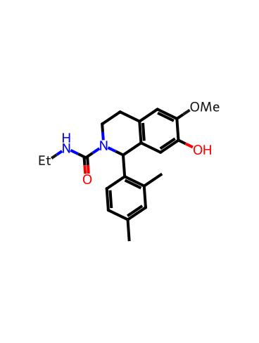 CCNC(=O)N1CCc2cc(OC)c(O)cc2C1c1ccc(C)cc1C